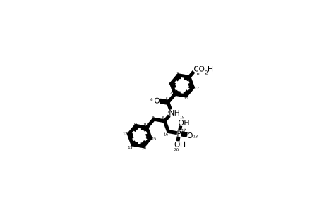 O=C(O)c1ccc(C(=O)NC(Cc2ccccc2)CP(=O)(O)O)cc1